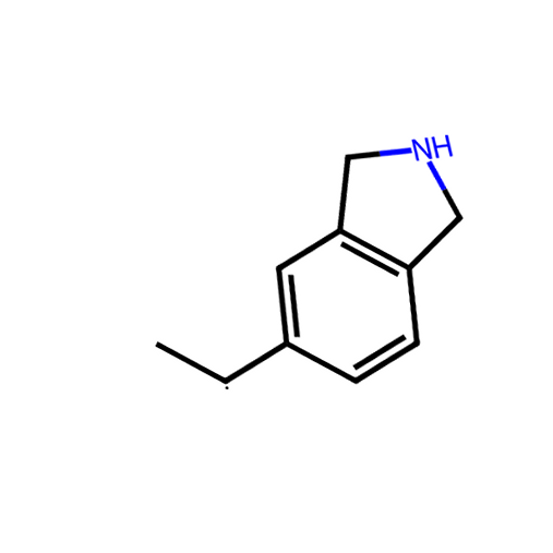 C[CH]c1ccc2c(c1)CNC2